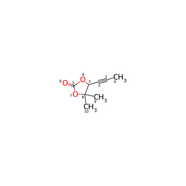 CC#CC1OC(=O)OC1(C)C